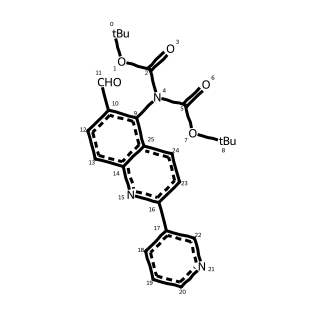 CC(C)(C)OC(=O)N(C(=O)OC(C)(C)C)c1c(C=O)ccc2nc(-c3cccnc3)ccc12